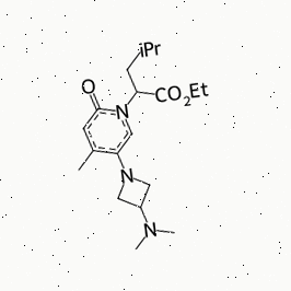 CCOC(=O)C(CC(C)C)n1cc(N2CC(N(C)C)C2)c(C)cc1=O